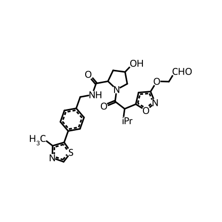 Cc1ncsc1-c1ccc(CNC(=O)C2CC(O)CN2C(=O)C(c2cc(OCC=O)no2)C(C)C)cc1